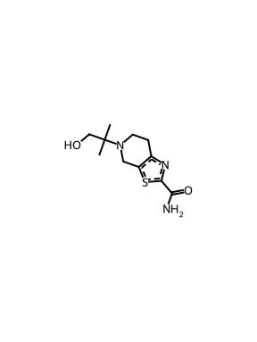 CC(C)(CO)N1CCc2nc(C(N)=O)sc2C1